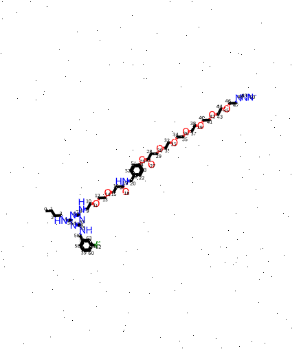 CCCCNc1nc(NCCOCCOCCC(=O)NCc2ccc(OC(=O)CCOCCOCCOCCOCCOCCOCCN=[N+]=[N-])cc2)nc(NCc2cccc(F)c2)n1